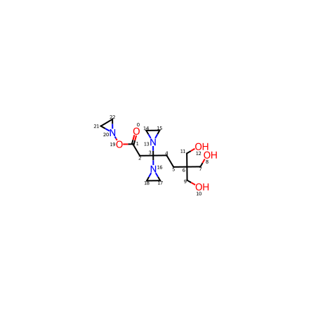 O=C(CC(CCC(CO)(CO)CO)(N1CC1)N1CC1)ON1CC1